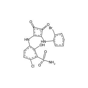 NS(=O)(=O)c1c(Cl)ccc(Nc2c(Nc3ccccc3Br)c(=O)c2=O)c1O